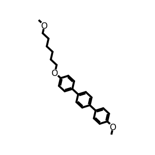 COCCCCCCOc1ccc(-c2ccc(-c3ccc(OC)cc3)cc2)cc1